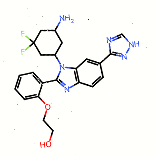 NC1CC(n2c(-c3ccccc3OCCO)nc3ccc(-c4nc[nH]n4)cc32)CC(F)(F)C1